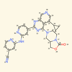 N#Cc1ccnc(Nc2cc(-c3nc(N4CCN5C(=O)OCC5C4)c4c(C5CC5)cncc4n3)ccn2)c1